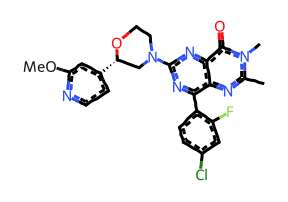 COc1cc([C@H]2CN(c3nc(-c4ccc(Cl)cc4F)c4nc(C)n(C)c(=O)c4n3)CCO2)ccn1